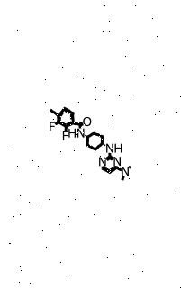 Cc1ccc(C(=O)N[C@H]2CC[C@@H](Nc3nccc(N(C)C)n3)CC2)c(F)c1F